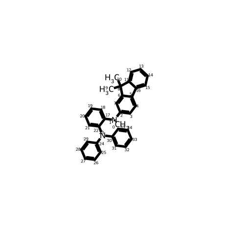 CN(c1ccc2c(c1)C(C)(C)c1ccccc1-2)c1ccccc1N(c1ccccc1)c1ccccc1